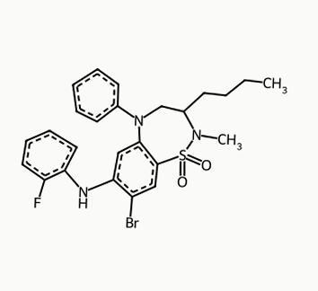 CCCCC1CN(c2ccccc2)c2cc(Nc3ccccc3F)c(Br)cc2S(=O)(=O)N1C